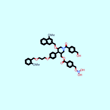 COc1ccccc1COCCCOc1ccc(C2C(COC(=O)c3ccc(CON(O)O)cc3)CN(C(=O)c3ccc(CO)cc3)CC2OCc2cc(OC)c3ccccc3c2)cc1